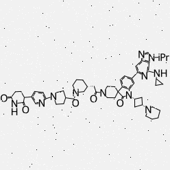 CC(C)n1cnc2cc(-c3ccc4c(c3)N([C@H]3C[C@@H](N5CCCCC5)C3)C(=O)C43CCN(C(=O)C[C@H]4CCCN(C(=O)C5CCN(c6ccc(C7CCC(=O)NC7=O)cn6)CC5)C4)CC3)nc(NC3CC3)c21